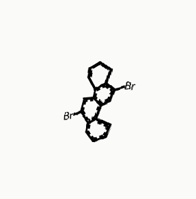 Brc1cc2c(cc(Br)c3ccccc32)c2c1CCC=C2